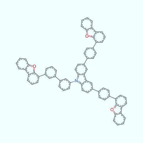 c1cc(-c2cccc(-n3c4ccc(-c5ccc(-c6cccc7c6oc6ccccc67)cc5)cc4c4cc(-c5ccc(-c6cccc7c6oc6ccccc67)cc5)ccc43)c2)cc(-c2cccc3c2oc2ccccc23)c1